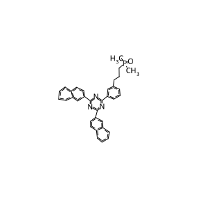 CP(C)(=O)CCCc1cccc(-c2nc(-c3ccc4ccccc4c3)nc(-c3ccc4ccccc4c3)n2)c1